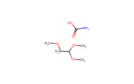 CO[SiH2]C(OC)OC.NC(=O)O